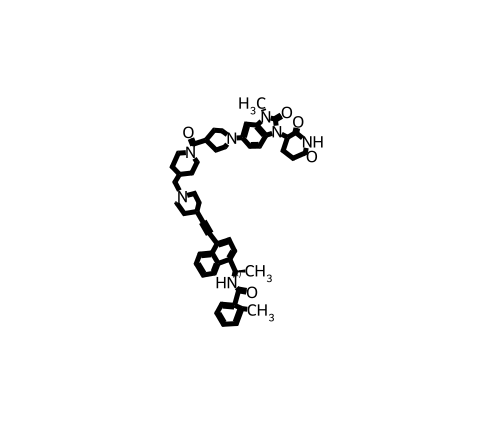 Cc1ccccc1C(=O)N[C@H](C)c1ccc(C#CC2CCN(CC3CCN(C(=O)C4CCN(c5ccc6c(c5)n(C)c(=O)n6C5CCC(=O)NC5=O)CC4)CC3)CC2)c2ccccc12